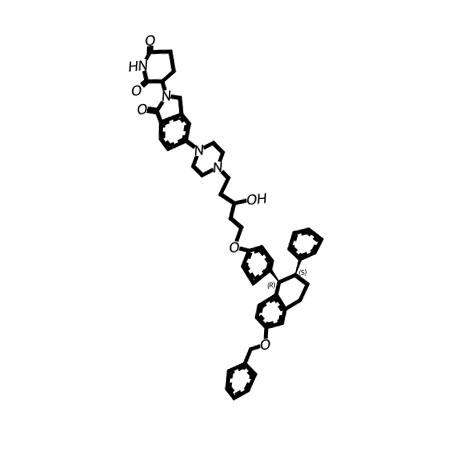 O=C1CCC(N2Cc3cc(N4CCN(CCC(O)CCOc5ccc([C@@H]6c7ccc(OCc8ccccc8)cc7CC[C@@H]6c6ccccc6)cc5)CC4)ccc3C2=O)C(=O)N1